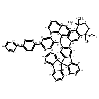 CC1(C)CCC(C)(C)c2cc(-c3cc4c(cc3N(c3ccc(-c5ccc(-c6ccccc6)cc5)cc3)c3cccc5ccccc35)C3(c5ccccc5-c5ccccc53)c3ccccc3-4)ccc21